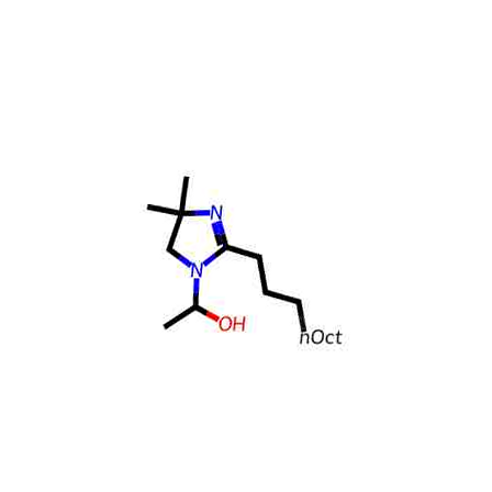 CCCCCCCCCCCC1=NC(C)(C)CN1C(C)O